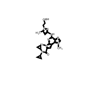 CCn1c(C(=O)N(C2CC2)C2CC2)cc2c3c(ncn3C)c(Nc3cc(C)n(CCOC)n3)nc21